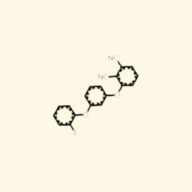 N#Cc1cccc(Oc2cccc(Oc3ccccc3F)c2)c1C#N